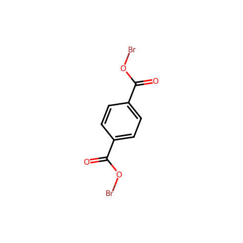 O=C(OBr)c1ccc(C(=O)OBr)cc1